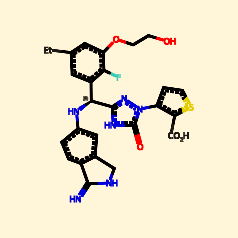 CCc1cc(OCCO)c(F)c([C@H](Nc2ccc3c(c2)CNC3=N)c2nn(-c3ccsc3C(=O)O)c(=O)[nH]2)c1